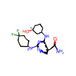 NC(=O)c1cnc(NC2CCC(F)(F)CC2)nc1NC1CCC[C@H](O)C1